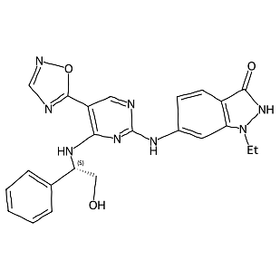 CCn1[nH]c(=O)c2ccc(Nc3ncc(-c4ncno4)c(N[C@H](CO)c4ccccc4)n3)cc21